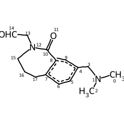 CN(C)Cc1ccc2c(c1)C(=O)N(CC=O)CCC2